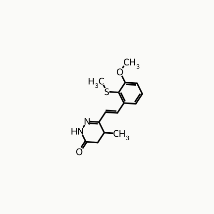 COc1cccc(C=CC2=NNC(=O)CC2C)c1SC